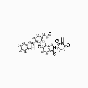 O=C1CCC(N2Cc3cc(OC4CN(CCF)CCC4NCc4ccccc4)ccc3C2=O)C(=O)N1